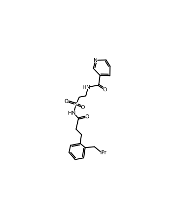 CC(C)Cc1ccccc1CCC(=O)NS(=O)(=O)CCNC(=O)c1cccnc1